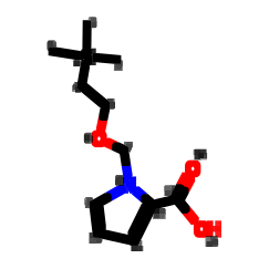 C[Si](C)(C)CCOCn1cccc1C(=O)O